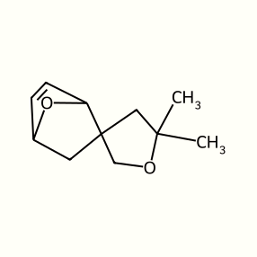 CC1(C)CC2(CO1)CC1C=CC2O1